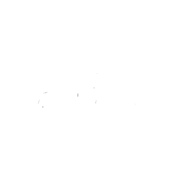 CCCC/C=C\C/C=C\CCCCCCCC(=O)O[C@H](COC(=O)CCCCCCCCCCCCCCCCCC)COP(=O)(O)OC[C@@H](O)CO